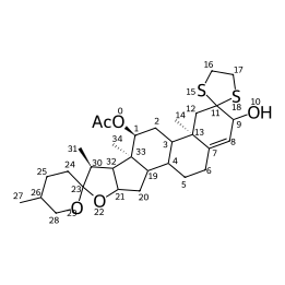 CC(=O)O[C@H]1CC2C(CCC3=CC(O)C4(C[C@@]32C)SCCS4)C2CC3OC4(CCC(C)CO4)[C@@H](C)C3[C@]21C